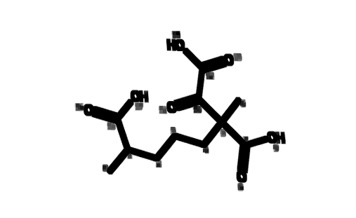 CC(CCCC(C)(C(=O)O)C(=O)C(=O)O)C(=O)O